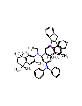 BCN(c1cc2c(cc1C)C(C)(C)CCC2(C)C)c1cc(N(c2ccccc2)c2ccccc2)cc(-c2cccc3c4c([nH]c23)-c2ccccc2C4)c1/C=C\C1=C(C)C(C)(C)c2ccccc21